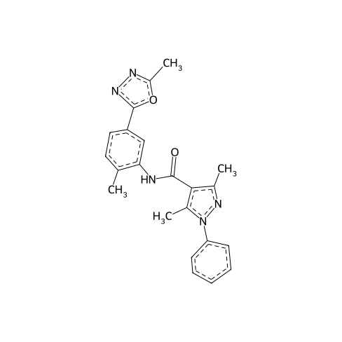 Cc1nnc(-c2ccc(C)c(NC(=O)c3c(C)nn(-c4ccccc4)c3C)c2)o1